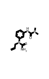 C=CCN(C(N)=S)c1cccc(NC(=O)N(C)C)c1